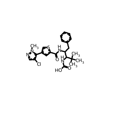 Cn1ncc(Cl)c1-c1csc(C(=O)NC(Cc2ccccc2)C(NC(=O)O)C(C)(C)C)c1